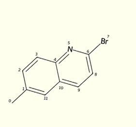 Cc1ccc2nc(Br)ccc2c1